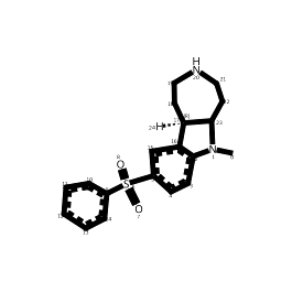 CN1c2ccc(S(=O)(=O)c3ccccc3)cc2[C@H]2CCNCCC21